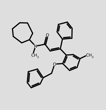 Cc1ccc(OCc2ccccc2)c(/C(=C/C(=O)N(C)C2CCCCCC2)c2ccccc2)c1